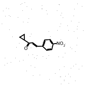 O=C(C=Cc1ccc([N+](=O)[O-])cc1)C1CC1